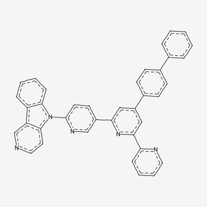 c1ccc(-c2ccc(-c3cc(-c4ccc(-n5c6ccccc6c6cnccc65)nc4)nc(-c4ccccn4)c3)cc2)cc1